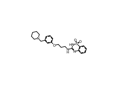 O=S1(=O)NC(NCCCOc2cccc(CN3CCCCC3)c2)=Nc2ccccc21